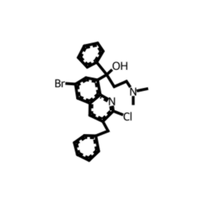 CN(C)CCC(O)(c1ccccc1)c1cc(Br)cc2cc(Cc3ccccc3)c(Cl)nc12